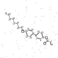 C=CC(=O)Oc1ccc(-c2ccc(OCCCCCCCC)cc2)cc1